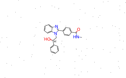 CNC(=O)c1ccc(-c2nc3ccccc3n2C[C@H](O)c2ccccc2)cc1